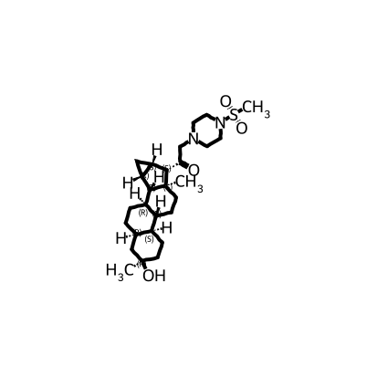 C[C@@]1(O)CC[C@H]2[C@H](CC[C@@H]3[C@@H]2CC[C@@]2(C)[C@H]3[C@@H]3C[C@@H]3[C@@H]2C(=O)CN2CCN(S(C)(=O)=O)CC2)C1